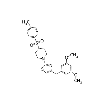 COc1cc(Cc2csc(N3CCC(S(=O)(=O)c4ccc(C)cc4)CC3)n2)cc(OC)c1